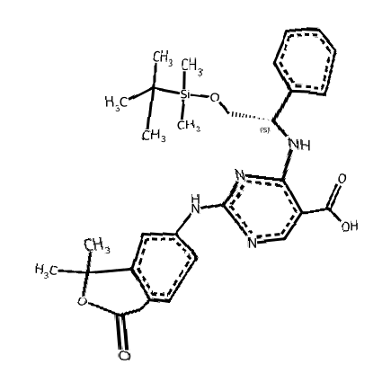 CC1(C)OC(=O)c2ccc(Nc3ncc(C(=O)O)c(N[C@H](CO[Si](C)(C)C(C)(C)C)c4ccccc4)n3)cc21